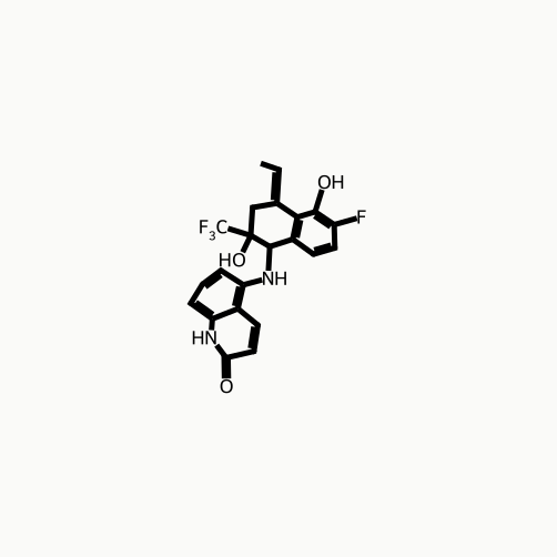 CC=C1CC(O)(C(F)(F)F)C(Nc2cccc3[nH]c(=O)ccc23)c2ccc(F)c(O)c21